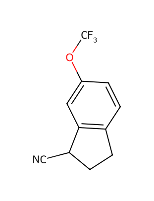 N#CC1CCc2ccc(OC(F)(F)F)cc21